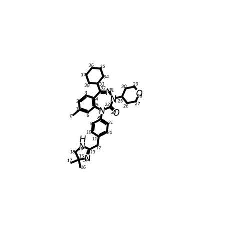 Cc1ccc2c(c1)N(c1ccc(CC3=NC(C)(C)CN3)cc1)C(=O)N(C1CCOCC1)N=C2C1CCCCC1